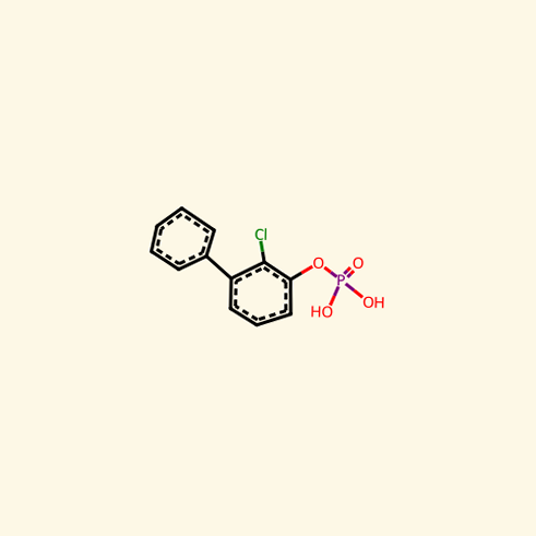 O=P(O)(O)Oc1cccc(-c2ccccc2)c1Cl